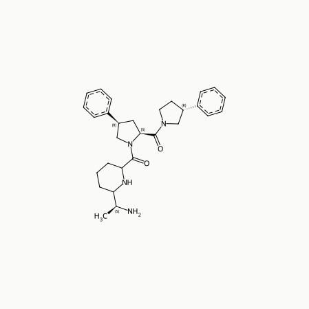 C[C@H](N)C1CCCC(C(=O)N2C[C@@H](c3ccccc3)C[C@H]2C(=O)N2CC[C@H](c3ccccc3)C2)N1